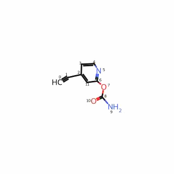 C#Cc1ccnc(OC(N)=O)c1